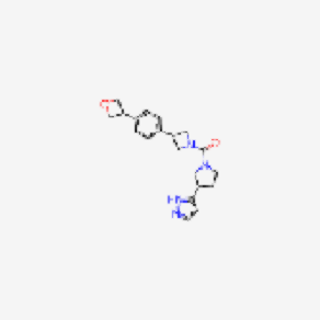 O=C(N1CC(c2ccc(C3COC3)cc2)C1)N1CCC(c2ccn[nH]2)C1